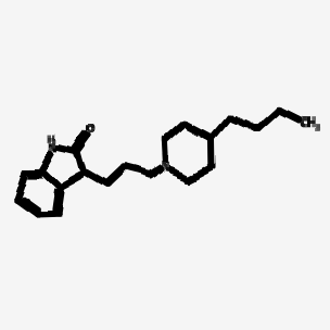 CCCCC1CCN(CCCC2C(=O)Nc3ccccc32)CC1